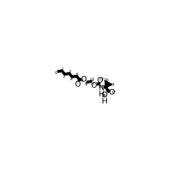 CCCCCCC(=O)OCCOC(=O)NC1(C(=O)O)CC1